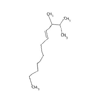 CCCCCCC=CC(C)C(C)C